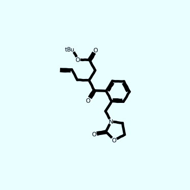 C=CCC(CC(=O)OC(C)(C)C)C(=O)c1ccccc1CN1CCOC1=O